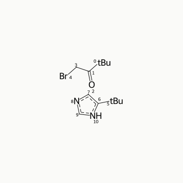 CC(C)(C)C(=O)CBr.CC(C)(C)c1cnc[nH]1